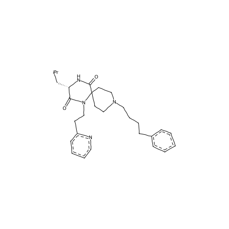 CC(C)C[C@@H]1NC(=O)C2(CCN(CCCCc3ccccc3)CC2)N(CCc2ccccn2)C1=O